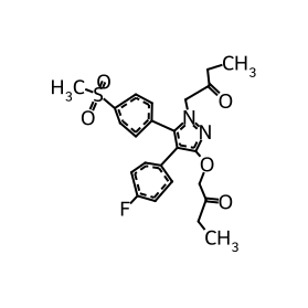 CCC(=O)COc1nn(CC(=O)CC)c(-c2ccc(S(C)(=O)=O)cc2)c1-c1ccc(F)cc1